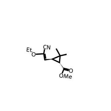 CCO/C(C#N)=C/[C@@H]1[C@@H](C(=O)OC)C1(C)C